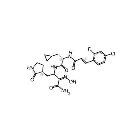 NC(=O)C(=NO)C(C[C@@H]1CCNC1=O)NC(=O)[C@H](CC1CC1)NC(=O)/C=C/c1ccc(Cl)cc1F